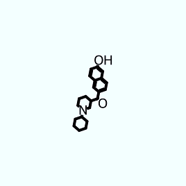 O=C(c1ccc2cc(O)ccc2c1)C1CCCN(C2CCCCC2)C1